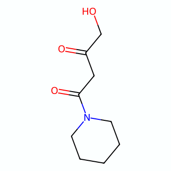 O=C(CO)CC(=O)N1CCCCC1